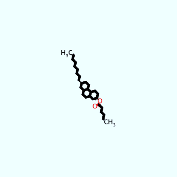 CCCCCCCCC[C@H]1CCC2C(CCC3C[C@@H](OC(=O)CCCCC)CCC32)C1